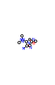 N#CC1=CCC(c2cc(-c3nc(-c4ccccc4)nc(-c4ccccc4)n3)cc(-c3cc(C#N)cc(C#N)c3)c2-n2c3ccccc3c3c4oc5ccccc5c4ccc32)=C1